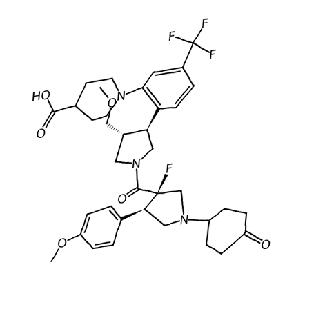 COC[C@H]1CN(C(=O)[C@]2(F)CN(C3CCC(=O)CC3)C[C@H]2c2ccc(OC)cc2)C[C@@H]1c1ccc(C(F)(F)F)cc1N1CCC(C(=O)O)CC1